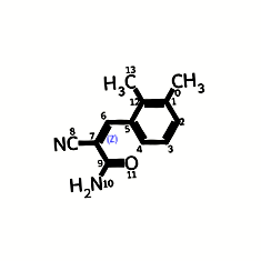 Cc1cccc(/C=C(/C#N)C(N)=O)c1C